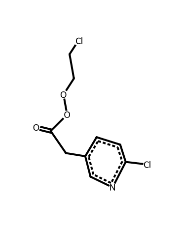 O=C(Cc1ccc(Cl)nc1)OOCCCl